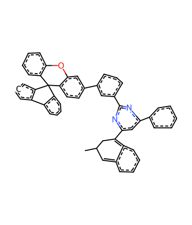 CC1C=c2ccccc2=C(c2cc(-c3ccccc3)nc(-c3cccc(-c4ccc5c(c4)Oc4ccccc4C54c5ccccc5-c5ccccc54)c3)n2)C1